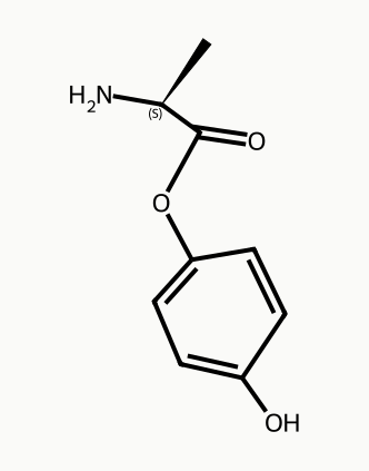 C[C@H](N)C(=O)Oc1ccc(O)cc1